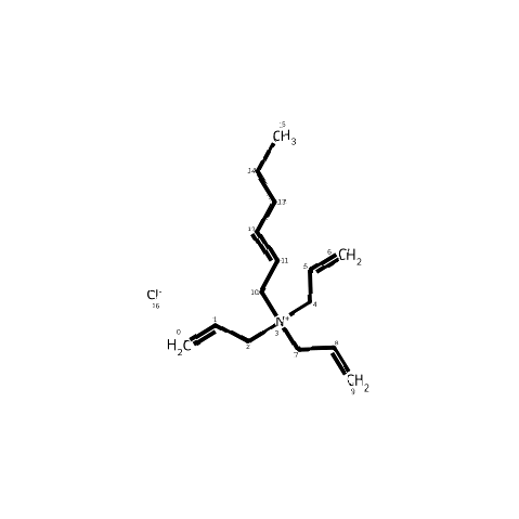 C=CC[N+](CC=C)(CC=C)CC=CCCC.[Cl-]